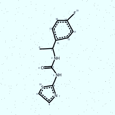 CC(NC(=O)Nc1nccs1)c1ccc(F)cc1